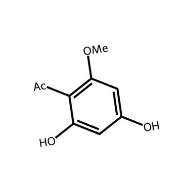 COc1cc(O)cc(O)c1C(C)=O